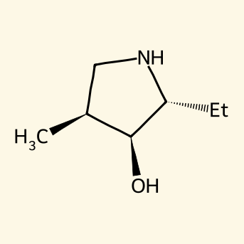 CC[C@H]1NC[C@H](C)[C@@H]1O